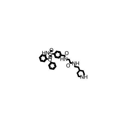 O=C(CNC(=O)c1ccc(S(=O)(=O)Nc2ccccc2Oc2ccccc2)cc1)NCCC1CCNCC1